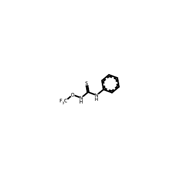 FC(F)(F)ONC(=S)Nc1ccccc1